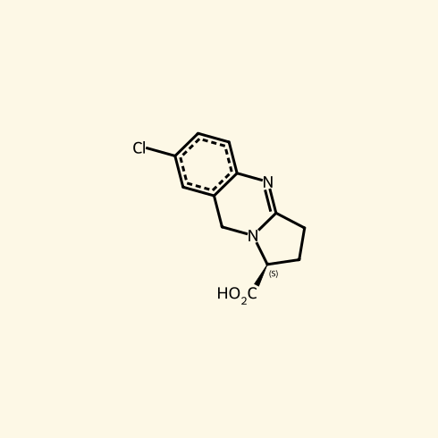 O=C(O)[C@@H]1CCC2=Nc3ccc(Cl)cc3CN21